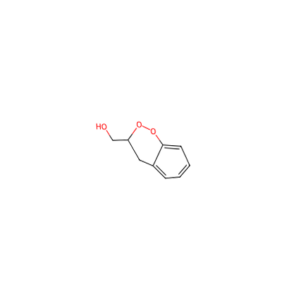 OCC1Cc2ccccc2OO1